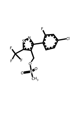 CS(=O)(=O)OCc1c(-c2ccc(Cl)cc2F)nsc1C(F)(F)F